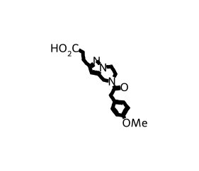 COc1ccc(CC(=O)N2CCn3nc(CCC(=O)O)cc3C2)cc1